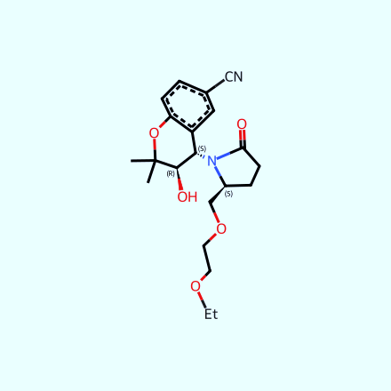 CCOCCOC[C@@H]1CCC(=O)N1[C@H]1c2cc(C#N)ccc2OC(C)(C)[C@@H]1O